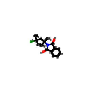 CC(C)(Br)CC(C)(C)N1C(=O)c2ccccc2C1=O